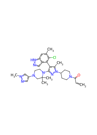 C=CC(=O)N1CCC(n2nc(N3CCN(c4cnn(C)c4)CC3(C)C)c(-c3c(Cl)c(C)cc4[nH]ncc34)c2C)CC1